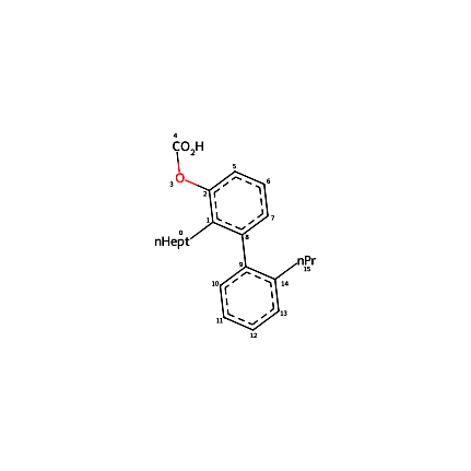 CCCCCCCc1c(OC(=O)O)cccc1-c1ccccc1CCC